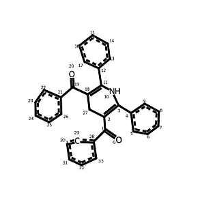 O=C(C1=C(c2ccccc2)NC(c2ccccc2)=C(C(=O)c2ccccc2)C1)c1ccccc1